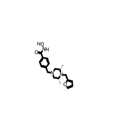 C[C@@H]1CN(Cc2ccc(C(=O)NO)cc2)C[C@H](C)N1Cc1ccco1